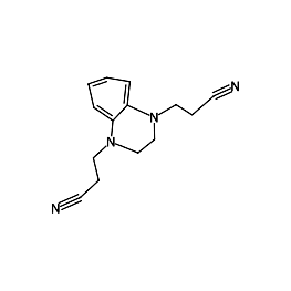 N#CCCN1CCN(CCC#N)c2ccccc21